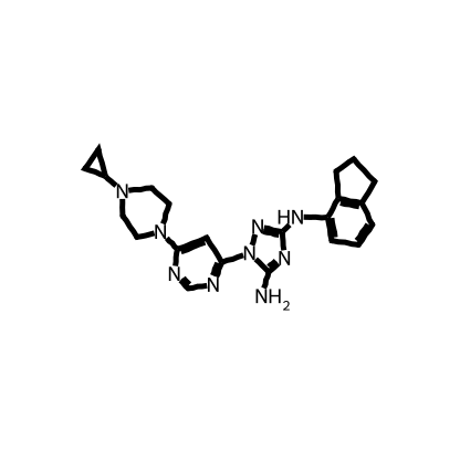 Nc1nc(Nc2cccc3c2CCC3)nn1-c1cc(N2CCN(C3CC3)CC2)ncn1